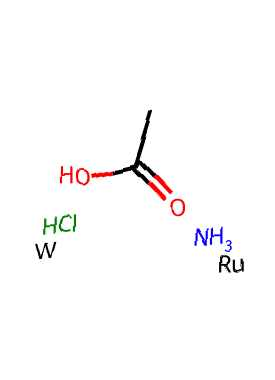 CC(=O)O.Cl.N.[Ru].[W]